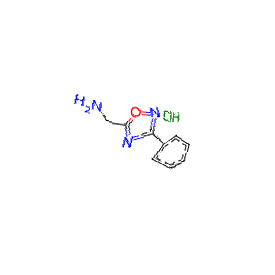 Cl.NCc1nc(-c2ccccc2)no1